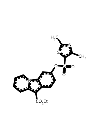 CCOC(=O)c1c2ccc(OS(=O)(=O)c3sc(C)nc3C)cc2n2ccccc12